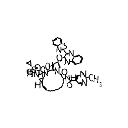 Cc1ncc(C(=O)N[C@H]2CCCCCC=C[C@@H]3C[C@@]3(C(=O)NS(=O)(=O)C3CC3)NC(=O)[C@@H]3C[C@@H](Oc4nc5ccccc5nc4-c4nc5ccccc5s4)CN3C2=O)cn1